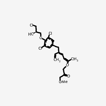 C=C/C(=C\C=C(/C)OCC(=O)COC)Cc1cc(Cl)c(OC[C@@H](O)CCl)c(Cl)c1